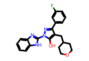 Oc1c(CC2CCOCC2)c(-c2cccc(F)c2)nn1-c1nc2ccccc2[nH]1